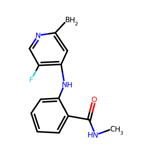 Bc1cc(Nc2ccccc2C(=O)NC)c(F)cn1